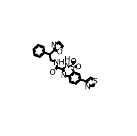 O=C(NCC(c1ccccc1)c1ncco1)C1=Nc2ccc(-c3cscn3)cc2S(=O)(=O)N1